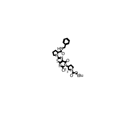 CC(C)(C)OC(=O)N1CCC(n2c(C(F)(F)F)nc3sc(N4CCCC4C(=O)NCc4ccccc4)nc3c2=O)C1